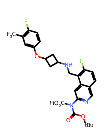 CC(C)(C)OC(=O)N(C(=O)O)c1cc2c(CNC3CC(Oc4ccc(F)c(C(F)(F)F)c4)C3)c(F)ccc2cn1